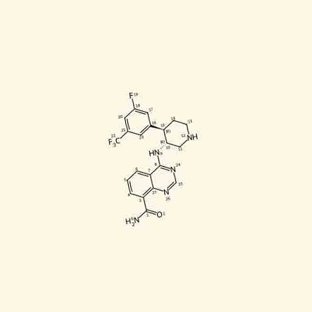 NC(=O)c1cccc2c(N[C@H]3CNCC[C@@H]3c3cc(F)cc(C(F)(F)F)c3)ncnc12